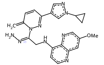 C=C1C=CC(c2cnn(C3CC3)c2)=NN1/C(CNc1ccnc2cc(OC)cnc12)=N\N